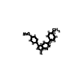 COc1ccc(-c2n[nH]c3nnc(-c4ccc(C)cc4)cc23)cc1